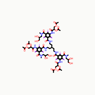 CC(=O)OCC(OC(C)=O)C(=O)Nc1c(I)c(C(=O)NCCC(CCNC(=O)c2c(I)c(NC(=O)C(COC(C)=O)OC(C)=O)c(I)c(C(=O)N(C)CC(O)CO)c2I)CCNC(=O)c2c(I)c(NC(=O)C(COC(C)=O)OC(C)=O)c(I)c(C(=O)N(C)CC(O)CO)c2I)c(I)c(C(=O)N(C)CC(O)CO)c1I